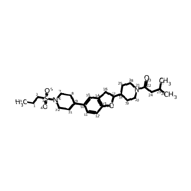 CCCS(=O)(=O)N1CCC(c2ccc3c(c2)CC(C2CCN(C(=O)CC(C)C)CC2)O3)CC1